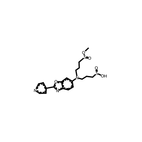 COS(=O)CCCN(CCCS(=O)O)c1ccc2nc(-c3ccncc3)oc2c1